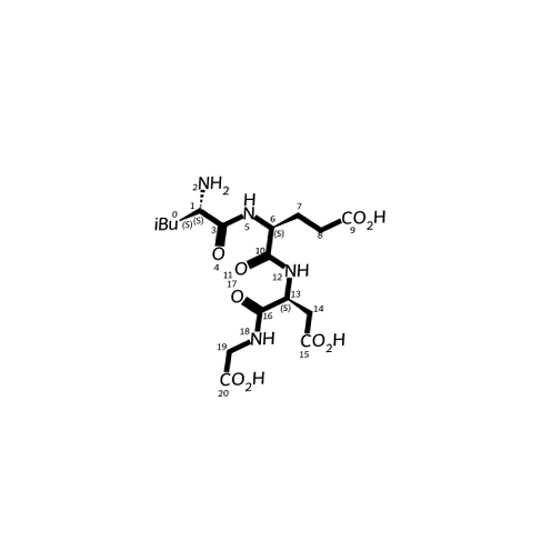 CC[C@H](C)[C@H](N)C(=O)N[C@@H](CCC(=O)O)C(=O)N[C@@H](CC(=O)O)C(=O)NCC(=O)O